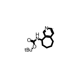 CC(C)(C)OC(=O)NC1CCCCc2c[c]ncc21